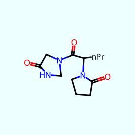 CCCC(C(=O)N1CNC(=O)C1)N1CCCC1=O